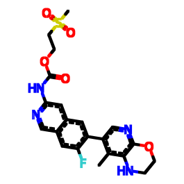 Cc1c(-c2cc3cc(NC(=O)OCCS(C)(=O)=O)ncc3cc2F)cnc2c1NCCO2